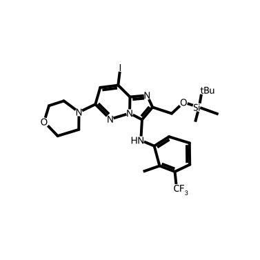 Cc1c(Nc2c(CO[Si](C)(C)C(C)(C)C)nc3c(I)cc(N4CCOCC4)nn23)cccc1C(F)(F)F